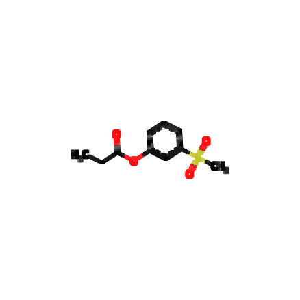 CCC(=O)Oc1cccc(S(C)(=O)=O)c1